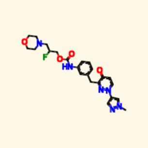 Cn1cc(-n2ccc(=O)c(Cc3cccc(NC(=O)OCC(F)CN4CCOCC4)c3)n2)cn1